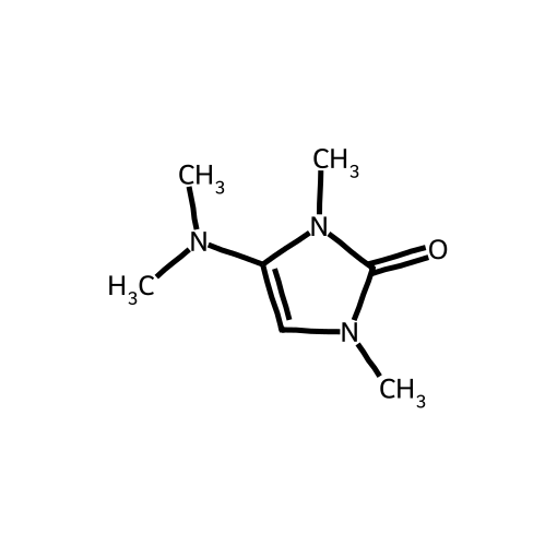 CN(C)c1cn(C)c(=O)n1C